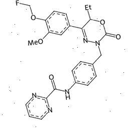 CCC1OC(=O)N(Cc2ccc(NC(=O)c3ncccn3)cc2)N=C1c1ccc(OCF)c(OC)c1